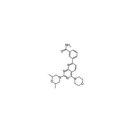 CC1CN(c2nc(N3CCOCC3)c3ccc(-c4cccc(C(N)=O)c4)nc3n2)CC(C)O1